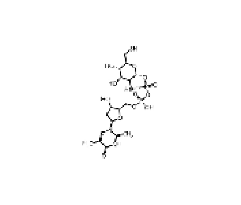 C=C1NC(=O)C(C)=CN1[C@H]1CC(O)[C@@H](COP(=O)(O)OP(=O)(O)O[C@H]2OC(CS)[C@@H](O)[C@H](O)C2O)O1